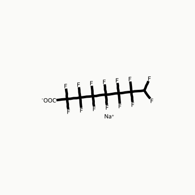 O=C([O-])C(F)(F)C(F)(F)C(F)(F)C(F)(F)C(F)(F)C(F)(F)C(F)F.[Na+]